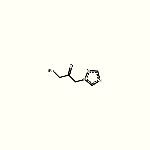 CCC(C)CC(=O)Cn1cncn1